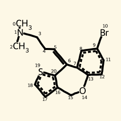 CN(C)CC/C=C1/c2cc(Br)ccc2OCc2ccsc21